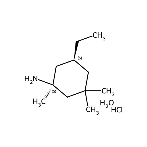 CC[C@H]1CC(C)(C)C[C@@](C)(N)C1.Cl.O